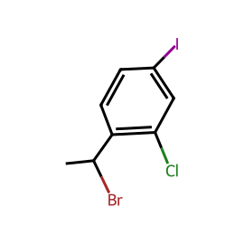 CC(Br)c1ccc(I)cc1Cl